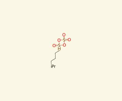 CC(C)CCCC[SH]1(=O)OS(=O)(=O)O1